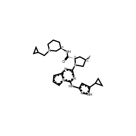 O=C(N[C@@H]1CCCN(CC2CC2)C1)[C@@H]1C[C@@H](F)CN1c1nc(Nc2cc(C3CC3)[nH]n2)n2cccc2n1